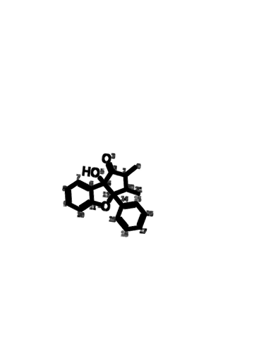 CC1C(=O)C2(O)c3ccccc3OC2(c2ccccc2)C1C